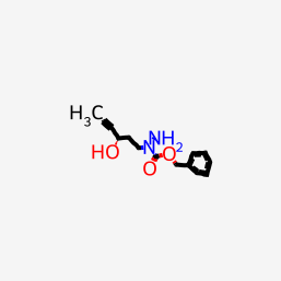 CC#C[C@@H](O)CCN(N)C(=O)OCc1ccccc1